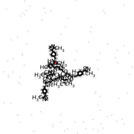 Cc1nnc([C@H](C(=O)N2C[C@H](OCc3nnc([C@H](C(=O)N4C[C@H](OCc5cc([C@H](C(=O)N6C[C@H](O)C[C@H]6C(=O)NCc6ccc(-c7scnc7C)cc6)C(C)C)ns5)C[C@H]4C(=O)NCc4ccc(-c5scnc5C)cc4)C(C)C)[nH]3)C[C@H]2C(=O)NCc2ccc(-c3scnc3C)cc2)C(C)C)o1